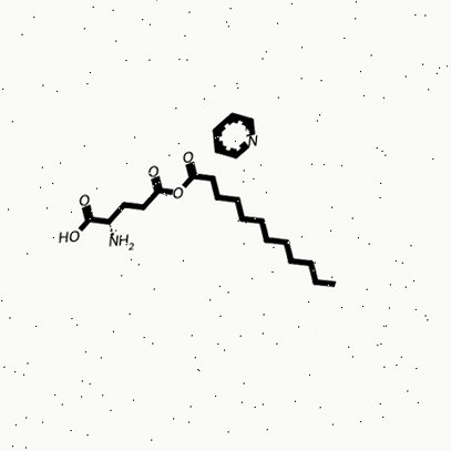 CCCCCCCCCCCC(=O)OC(=O)CC[C@H](N)C(=O)O.c1ccncc1